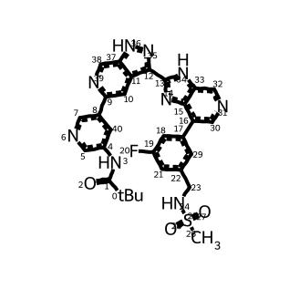 CC(C)(C)C(=O)Nc1cncc(-c2cc3c(-c4nc5c(-c6cc(F)cc(CNS(C)(=O)=O)c6)cncc5[nH]4)n[nH]c3cn2)c1